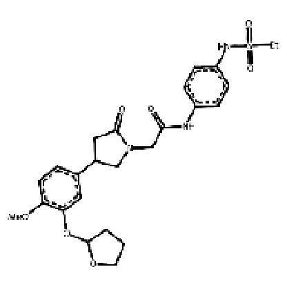 CCS(=O)(=O)Nc1ccc(NC(=O)CN2CC(c3ccc(OC)c(OC4CCCO4)c3)CC2=O)cc1